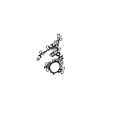 C=C(CBr)C(=O)OCCCCC(C=O)N[C@H](C(=O)N[C@@H](CCCNC(N)=O)C(=O)Nc1ccc(C(=O)N(C)[C@@H](C)C(=O)O[C@H]2CC(=O)N(C)c3cc(cc(OC)c3Cl)C/C(C)=C/C=C/[C@@H](OC)[C@@]3(O)C[C@H](OC(=O)N3)[C@@H](C)[C@@H]3O[C@@]23C)cc1N1CCOCC1)C(C)C